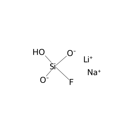 [Li+].[Na+].[O-][Si]([O-])(O)F